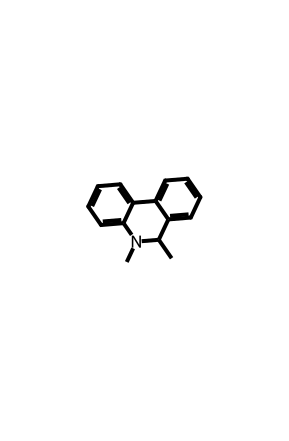 CC1c2ccccc2-c2ccccc2N1C